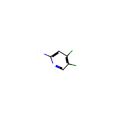 Nc1cc(Br)c(F)cn1